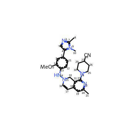 COc1cc(-c2cnc(C)n2C)ccc1NN1C=Cc2cc(C)nc(N3CCC(C#N)CC3)c2C1